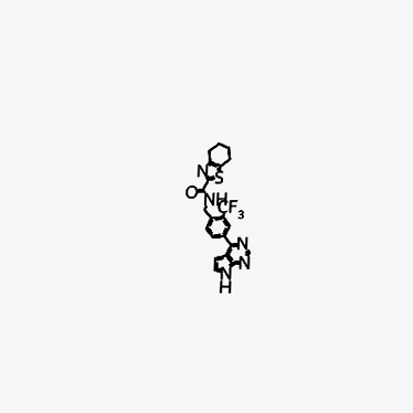 O=C(NCc1ccc(-c2ncnc3[nH]ccc23)cc1C(F)(F)F)c1nc2c(s1)CCCC2